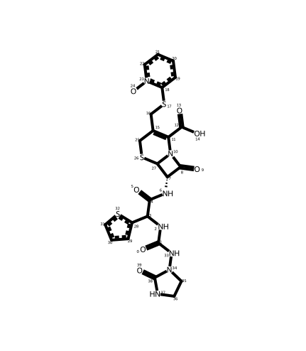 O=C(NC(C(=O)N[C@H]1C(=O)N2C(C(=O)O)=C(CSc3cccc[n+]3[O-])CSC12)c1cccs1)NN1CCNC1=O